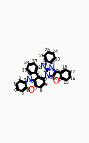 c1ccc2c(c1)Oc1ccc(-n3c4oc5ccccc5c4n4c5ccccc5nc34)c3c4ccccc4n-2c13